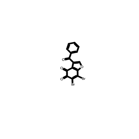 O=C1C(=O)c2c(C(=O)c3ccccc3)coc2C(Br)=C1Br